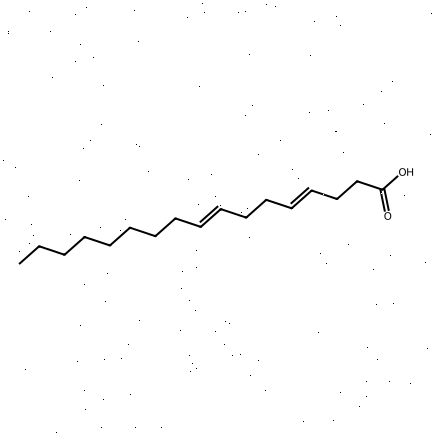 CCCCCCCCC=CCCC=CCCC(=O)O